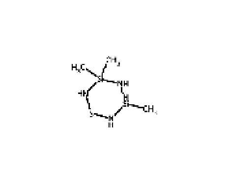 C[SiH]1NSN[Si](C)(C)N1